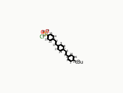 CC(C)(C)c1ccc(/C=C/c2ccc(/C=C/c3ccc(S(=O)(=O)Cl)cc3)cc2)cc1